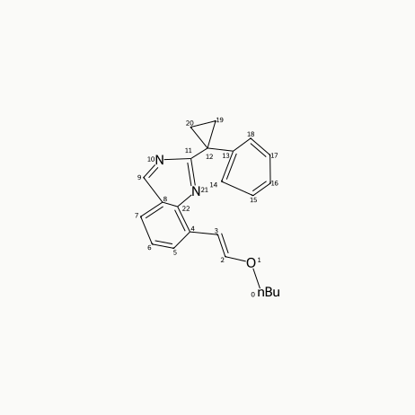 CCCCOC=Cc1cccc2cnc(C3(c4ccccc4)CC3)nc12